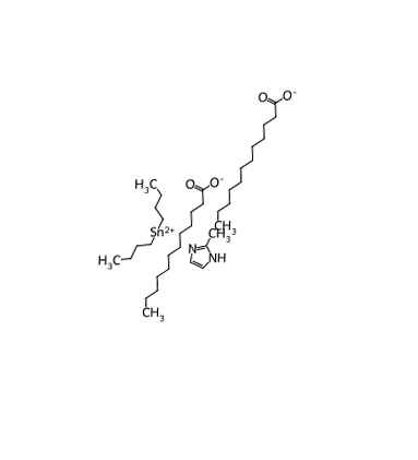 CCCCCCCCCCCC(=O)[O-].CCCCCCCCCCCC(=O)[O-].CCC[CH2][Sn+2][CH2]CCC.Cc1ncc[nH]1